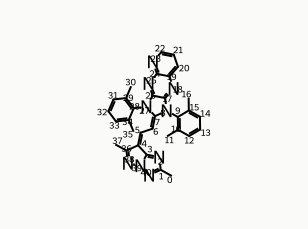 Cc1nc2/c(=C\C=C3\N(c4c(C)cccc4C)c4nc5cccnc5nc4N3c3c(C)cccc3C)c(C)nn2n1